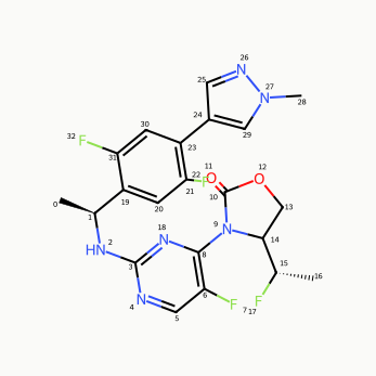 C[C@H](Nc1ncc(F)c(N2C(=O)OCC2[C@H](C)F)n1)c1cc(F)c(-c2cnn(C)c2)cc1F